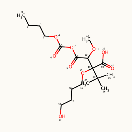 CCCCOC(=O)OC(=O)C(OC)C(OCCCCO)(C(=O)O)C(C)(C)C